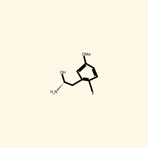 COc1ccc(F)c(C[C@H](N)O)c1